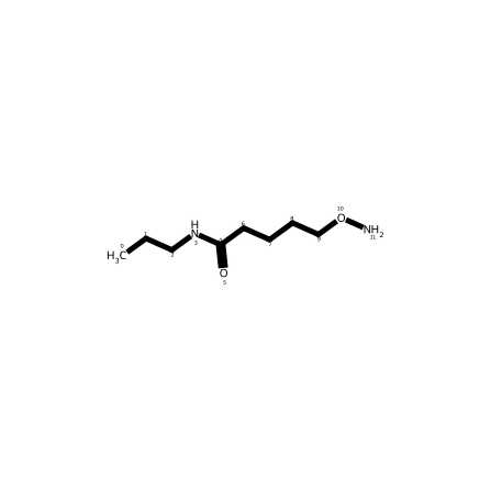 CCCNC(=O)CCCCON